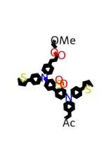 COCCOC(=O)CCc1ccc(N(c2ccc(-c3cccs3)cc2)c2ccc3c(c2)S(=O)(=O)c2cc(N(c4ccc(CCC(C)=O)cc4)c4ccc(-c5cccs5)cc4)ccc2-3)cc1